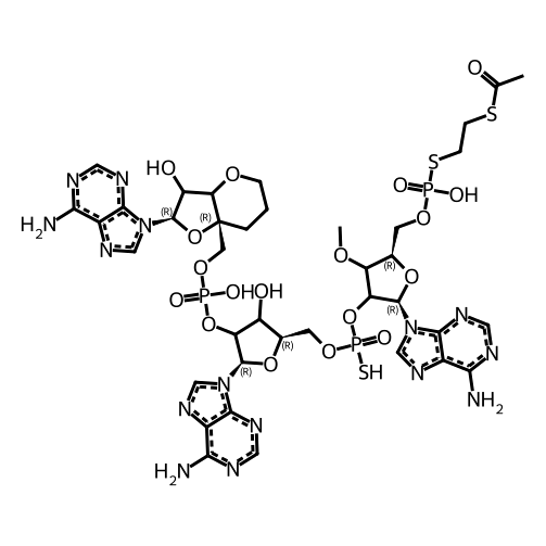 COC1C(OP(=O)(S)OC[C@H]2O[C@@H](n3cnc4c(N)ncnc43)C(OP(=O)(O)OC[C@]34CCCOC3C(O)[C@H](n3cnc5c(N)ncnc53)O4)C2O)[C@H](n2cnc3c(N)ncnc32)O[C@@H]1COP(=O)(O)SCCSC(C)=O